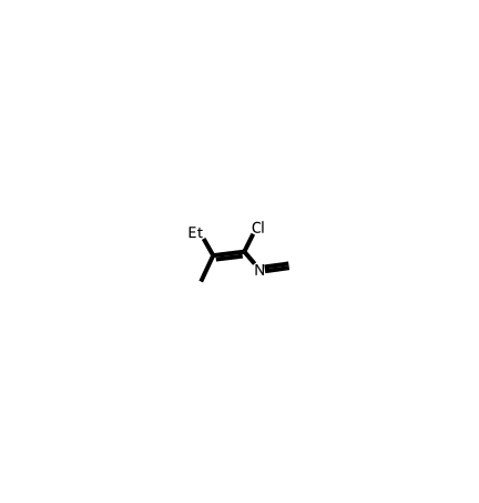 C=N/C(Cl)=C(\C)CC